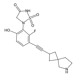 O=C1CN(c2c(O)ccc(C#CC3CC4(CCNC4)C3)c2F)S(=O)(=O)N1